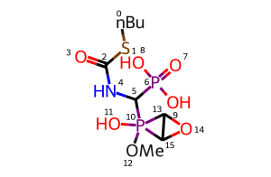 CCCCSC(=O)NC(P(=O)(O)O)P1(O)(OC)C2OC21